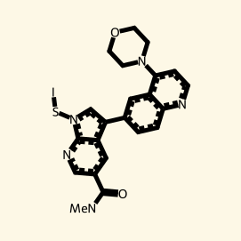 CNC(=O)c1cnc2c(c1)c(-c1ccc3nccc(N4CCOCC4)c3c1)cn2SI